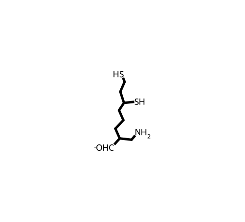 NCC([C]=O)CCCC(S)CCS